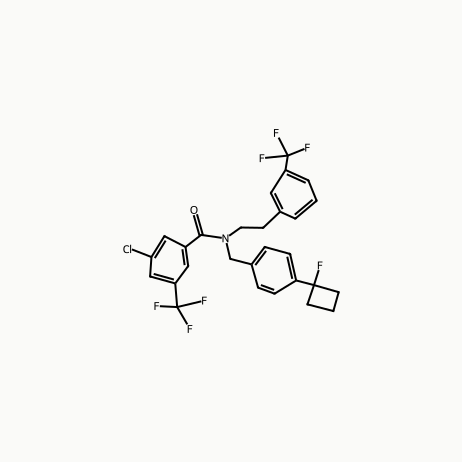 O=C(c1cc(Cl)cc(C(F)(F)F)c1)N(CCc1cccc(C(F)(F)F)c1)Cc1ccc(C2(F)CCC2)cc1